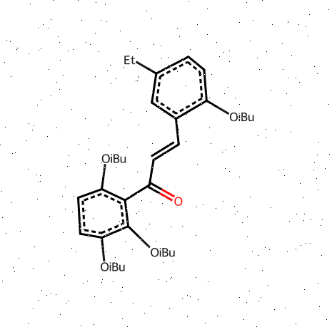 CCc1ccc(OCC(C)C)c(C=CC(=O)c2c(OCC(C)C)ccc(OCC(C)C)c2OCC(C)C)c1